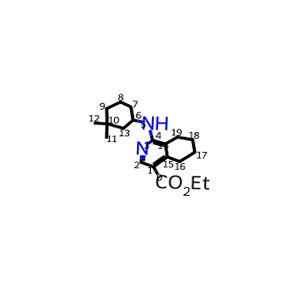 CCOC(=O)c1cnc(NC2CCCC(C)(C)C2)c2c1CCCC2